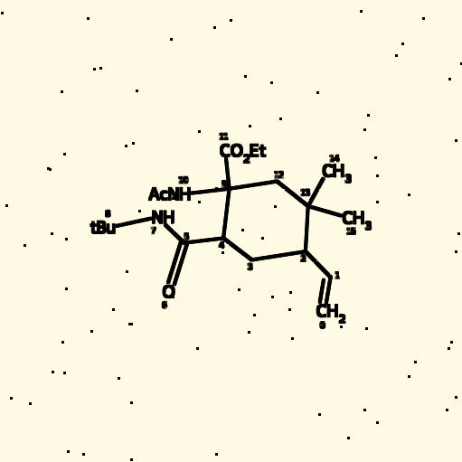 C=CC1CC(C(=O)NC(C)(C)C)C(NC(C)=O)(C(=O)OCC)CC1(C)C